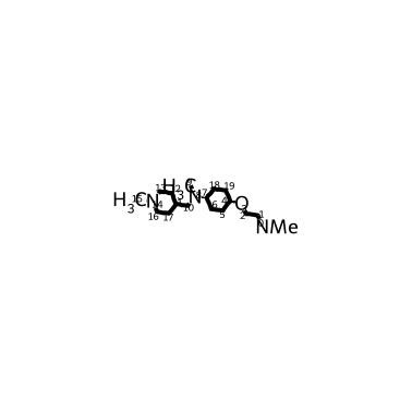 CNCCO[C@H]1CC[C@H](N(C)CC2CCN(C)CC2)CC1